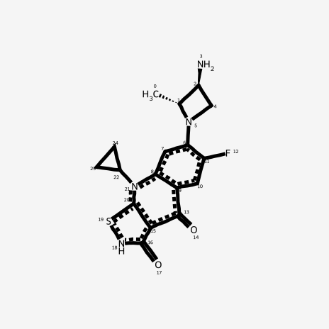 C[C@@H]1[C@@H](N)CN1c1cc2c(cc1F)c(=O)c1c(=O)[nH]sc1n2C1CC1